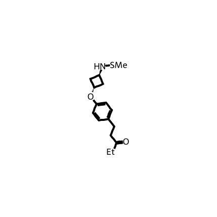 CCC(=O)CCc1ccc(O[C@H]2C[C@H](NSC)C2)cc1